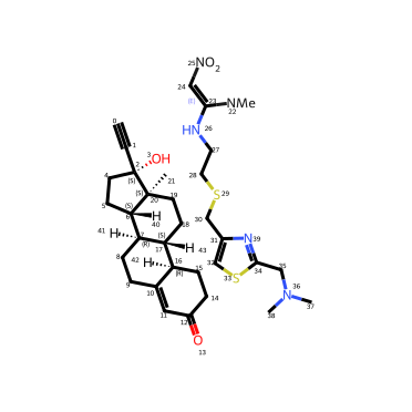 C#C[C@]1(O)CC[C@H]2[C@@H]3CCC4=CC(=O)CC[C@@H]4[C@H]3CC[C@@]21C.CN/C(=C\[N+](=O)[O-])NCCSCc1csc(CN(C)C)n1